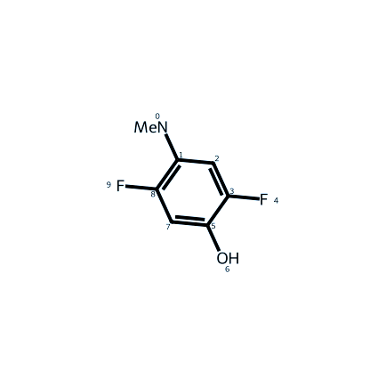 CNc1cc(F)c(O)cc1F